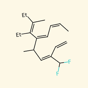 C=C/C(=C\C(C)C(=C/C=C\C)/C(CC)=C(\C)CC)C(F)F